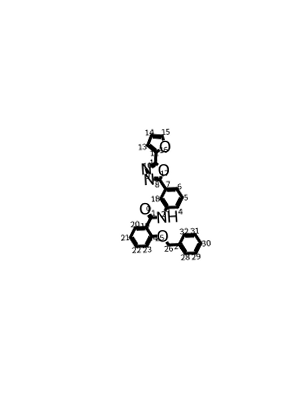 O=C(Nc1cccc(-c2nnc(-c3ccco3)o2)c1)c1ccccc1OCc1ccccc1